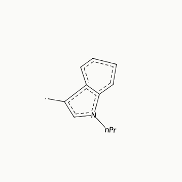 [CH2]c1cn(CCC)c2ccccc12